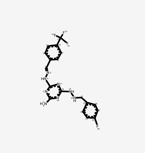 Nc1nc(NN=Cc2ccc(C(F)(F)F)cc2)nc(NNCc2ccc(F)cc2)n1